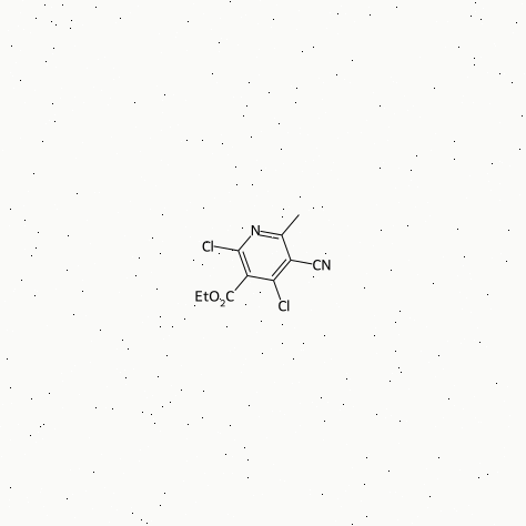 CCOC(=O)c1c(Cl)nc(C)c(C#N)c1Cl